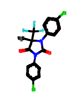 CC1(C(F)(F)F)C(=O)N(c2ccc(Cl)cc2)C(=O)N1c1ccc(Cl)cc1